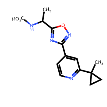 CC(NC(=O)O)c1nc(-c2ccnc(C3(C)CC3)c2)no1